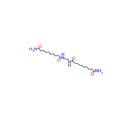 NC(=O)CCCCCCCCC(=O)NCCNC(=O)CCCCCCCCC(N)=O